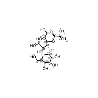 C=C(C)C(=O)O[C@@H]([C@H](O[C@H]1O[C@H](CO)[C@@H](O)[C@H](O)[C@H]1O)[C@H](O)CO)[C@@H](O)CO